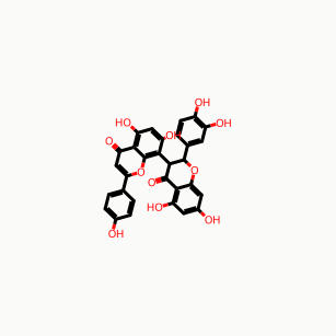 O=C1c2c(O)cc(O)cc2OC(c2ccc(O)c(O)c2)C1c1c(O)cc(O)c2c(=O)cc(-c3ccc(O)cc3)oc12